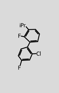 CC(C)c1cccc(-c2ccc(F)cc2Cl)c1F